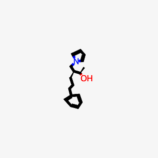 C[C@@H](O)[C@@H](CCCc1ccccc1)Cn1cccc1